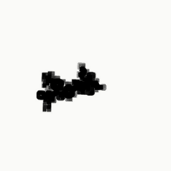 CCCn1c(=O)c2[nH]c(-c3ccc(OC(c4cccc(C(F)(F)F)c4)C4CNC(=O)C4)cc3)nc2n(CCC)c1=O